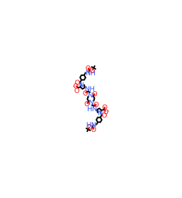 COC(=O)C1CC(NC(=O)CN2CCC(=O)N(CC(=O)NC3CC(C(=O)OC)N(C(=O)C4CCC(CNC(=O)OC(C)(C)C)CC4)C3)CCC2=O)CN1C(=O)C1CCC(CNC(=O)OC(C)(C)C)CC1